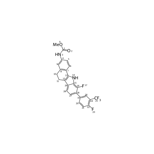 COC(=O)Nc1ccc2c(c1)CCc1c-2[nH]c2c(F)c(-c3ccc(F)c(C(F)(F)F)c3)ccc12